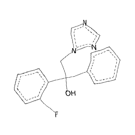 OC(Cn1cncn1)(c1ccccc1)c1ccccc1F